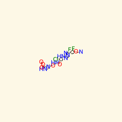 C[N+]1(CCOCCNC(=O)c2ccc(Nc3nccn4c(-c5ccc(OCC#N)c(F)c5F)cnc34)cc2Cl)CCNC(C(=O)OC=O)C1